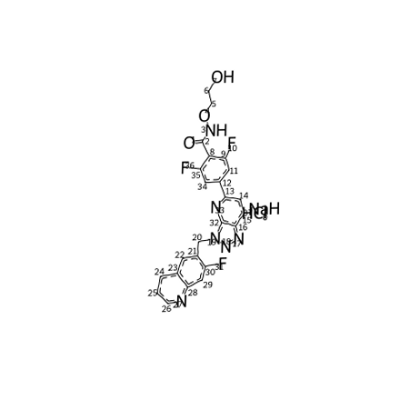 Cl.O=C(NOCCO)c1c(F)cc(-c2ccc3nnn(Cc4cc5cccnc5cc4F)c3n2)cc1F.[NaH]